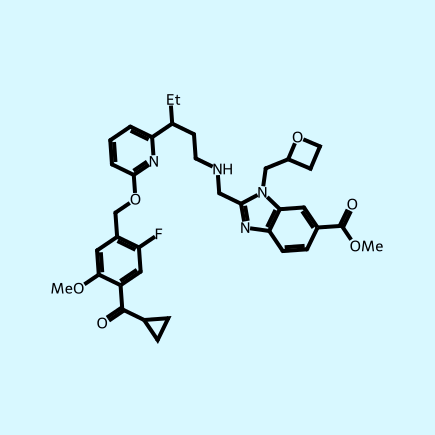 CCC(CCNCc1nc2ccc(C(=O)OC)cc2n1CC1CCO1)c1cccc(OCc2cc(OC)c(C(=O)C3CC3)cc2F)n1